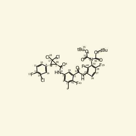 Cc1cc(NC(=O)[C@H]2[C@H](c3ccc(F)c(Cl)c3)C2(Cl)Cl)cc(C(=O)Nc2ccc(F)c(N(C(=O)OC(C)(C)C)C(=O)OC(C)(C)C)c2F)c1F